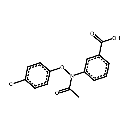 CC(=O)N(Oc1ccc(Cl)cc1)c1cccc(C(=O)O)c1